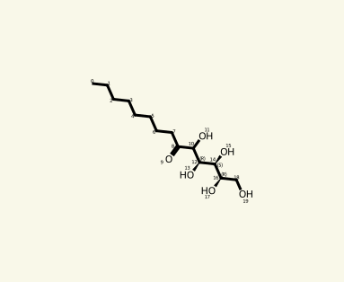 CCCCCCCCC(=O)C(O)[C@H](O)[C@@H](O)[C@H](O)CO